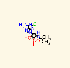 CC(C)C(=O)N[C@H]1C[C@@H](n2cnc3c(N)nc(Cl)nc32)[C@H](O)[C@@H]1O